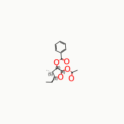 CC[C@@H]1O[C@H](OC(C)=O)[C@H](OC(=O)c2ccccc2)[C@H]1C